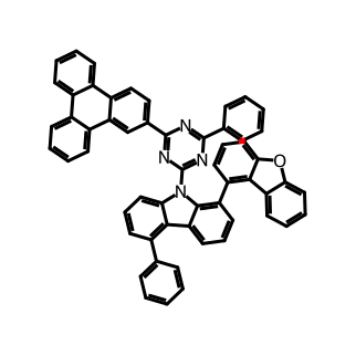 c1ccc(-c2nc(-c3ccc4c5ccccc5c5ccccc5c4c3)nc(-n3c4cccc(-c5ccccc5)c4c4cccc(-c5cccc6oc7ccccc7c56)c43)n2)cc1